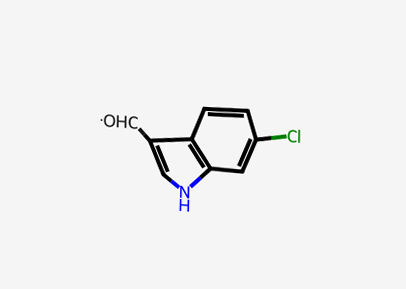 O=[C]c1c[nH]c2cc(Cl)ccc12